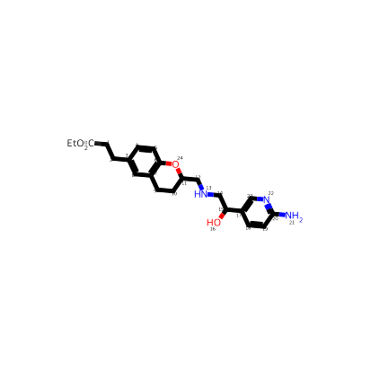 CCOC(=O)CCc1ccc2c(c1)CCC(CNCC(O)c1ccc(N)nc1)O2